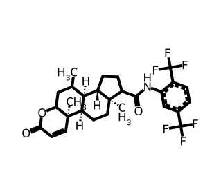 CC1CC2OC(=O)C=C[C@]2(C)[C@@H]2CC[C@]3(C)C(C(=O)Nc4cc(C(F)(F)F)ccc4C(F)(F)F)CC[C@H]3[C@H]12